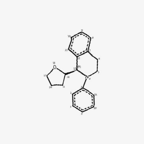 c1ccc(N2CCc3ccccc3[C@@H]2C2CCCO2)cc1